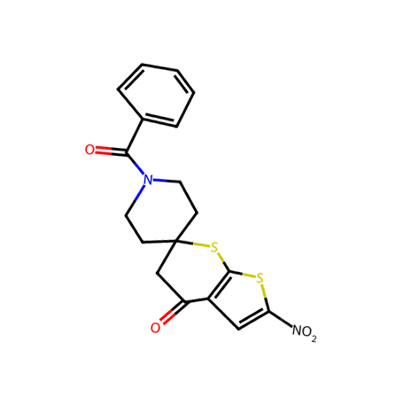 O=C1CC2(CCN(C(=O)c3ccccc3)CC2)Sc2sc([N+](=O)[O-])cc21